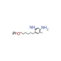 Cc1cc(CCCCCCOC(C)C)ccc1N.N